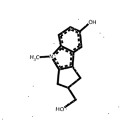 Cn1c2c(c3cc(O)ccc31)CC(CO)C2